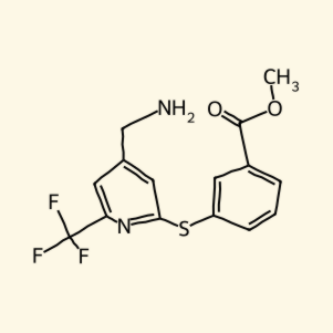 COC(=O)c1cccc(Sc2cc(CN)cc(C(F)(F)F)n2)c1